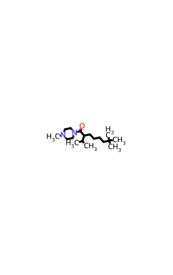 CC(C)C(CCCCC(C)(C)C)C(=O)N1CCN(C)CC1